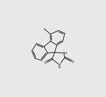 Cc1cccc2c1-c1ccccc1C21NC(=O)NC1=O